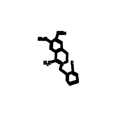 COc1cc2c(cc1OC)C(C)=[N+](Cc1ccccc1F)CC2